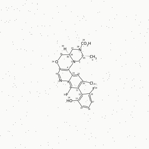 C[C@@H]1CN2c3c(cnc4c(F)c(-c5c(O)cccc5F)c(Cl)cc34)OC[C@H]2CN1C(=O)O